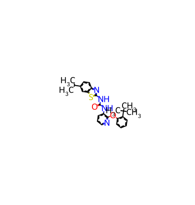 CC(C)c1ccc2nc(NC(=O)Nc3cccnc3Oc3ccccc3C(C)(C)C)sc2c1